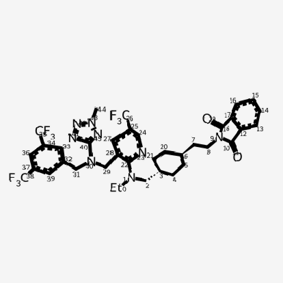 CCN(C[C@H]1CC[C@H](CCN2C(=O)c3ccccc3C2=O)CC1)c1ncc(C(F)(F)F)cc1CN(Cc1cc(C(F)(F)F)cc(C(F)(F)F)c1)c1nnn(C)n1